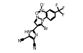 N#Cc1nc(-c2cnn(-c3ccc(C(F)(F)F)cc3[N+](=O)[O-])c2Br)[nH]c1C#N